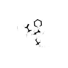 C=C(C(=O)OC(OCC(F)(F)S(=O)(=O)O)(C(=O)N1CCCCC1)C(F)(F)F)C(F)(F)F